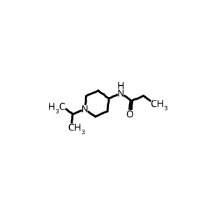 CCC(=O)NC1CCN(C(C)C)CC1